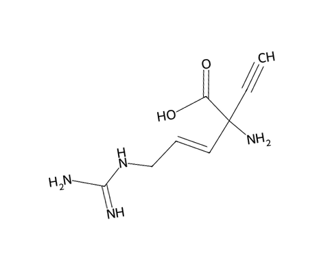 C#CC(N)(C=CCNC(=N)N)C(=O)O